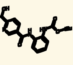 CC(C)(C)OC(=O)Nc1ccccc1NC(=O)c1ccc(CO)nc1